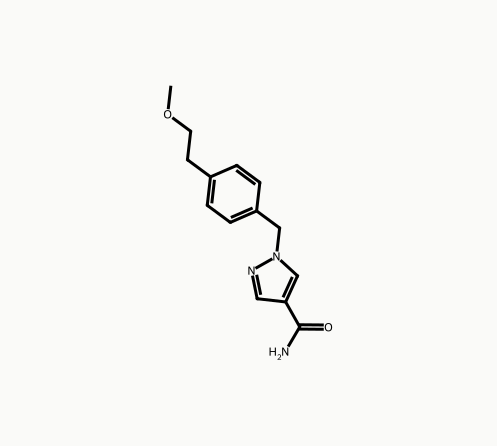 COCCc1ccc(Cn2cc(C(N)=O)cn2)cc1